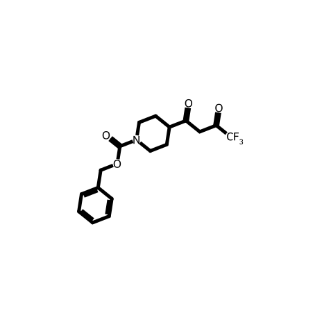 O=C(CC(=O)C(F)(F)F)C1CCN(C(=O)OCc2ccccc2)CC1